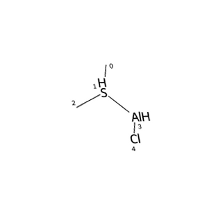 C[SH](C)[AlH][Cl]